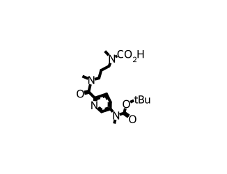 CN(CCCN(C)C(=O)c1ccc(N(C)C(=O)OC(C)(C)C)cn1)C(=O)O